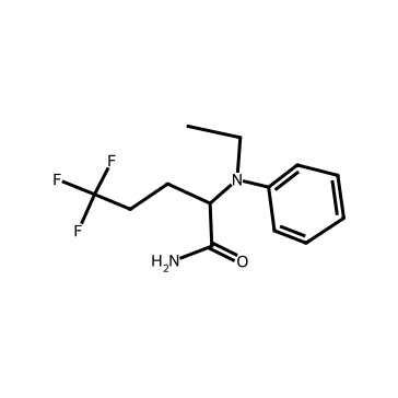 CCN(c1ccccc1)C(CCC(F)(F)F)C(N)=O